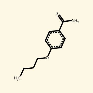 CCCCOc1ccc(C(N)=S)cc1